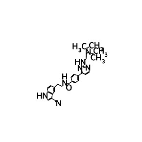 CC(C)N(CCNc1nccc(-c2ccc(C(=O)NCCc3ccc4[nH]cc(C#N)c4c3)cc2)n1)C(C)C